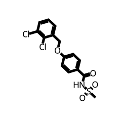 CS(=O)(=O)NC(=O)c1ccc(OCc2cccc(Cl)c2Cl)cc1